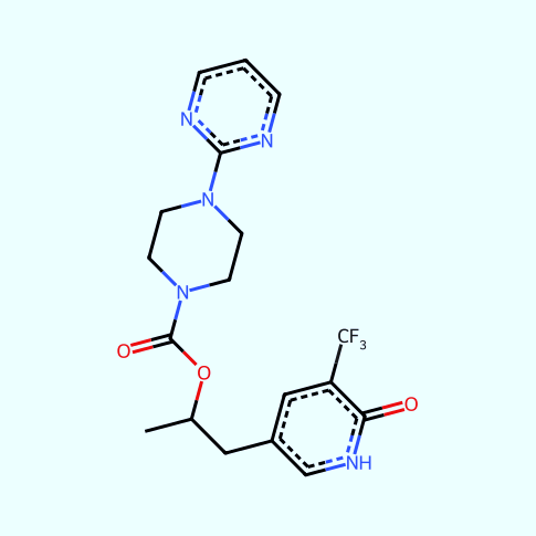 CC(Cc1c[nH]c(=O)c(C(F)(F)F)c1)OC(=O)N1CCN(c2ncccn2)CC1